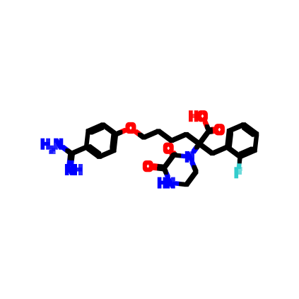 N=C(N)c1ccc(OCCCCC(Cc2ccccc2F)(C(=O)O)N2CCNC(=O)C2=O)cc1